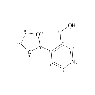 OCc1cnccc1C1OCCO1